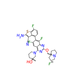 C[C@@]1(O)CCCN(c2nc(OC[C@@]34CCCN3C[C@H](F)C4)nc3c(F)c(-c4ccc(F)c5sc(N)c(C#N)c45)c(F)cc23)C1